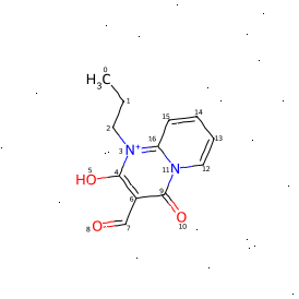 CCC[n+]1c(O)c(C=O)c(=O)n2ccccc21